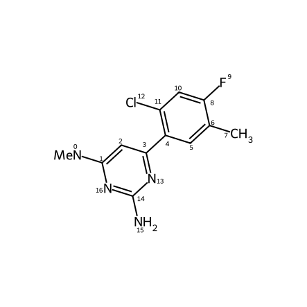 CNc1cc(-c2cc(C)c(F)cc2Cl)nc(N)n1